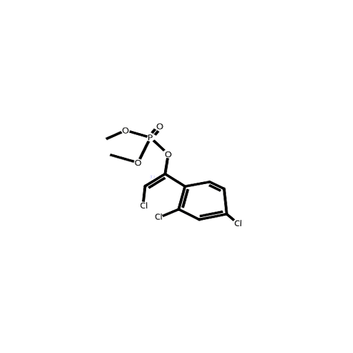 COP(=O)(OC)O/C(=C/Cl)c1ccc(Cl)cc1Cl